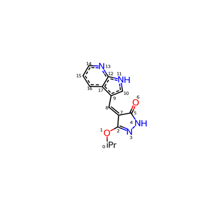 CC(C)OC1=NNC(=O)C1=Cc1c[nH]c2ncccc12